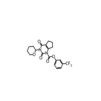 O=C(Oc1cccc(C(F)(F)F)c1)n1c2c(c(=O)n(C3CCCCO3)c1=O)CCC2